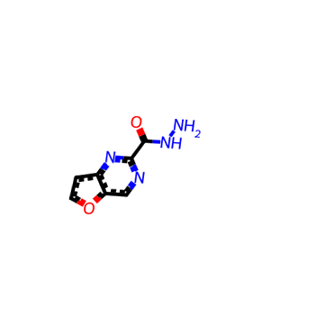 NNC(=O)c1ncc2occc2n1